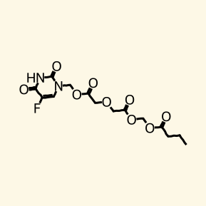 CCCC(=O)OCOC(=O)COCC(=O)OCn1cc(F)c(=O)[nH]c1=O